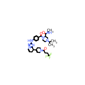 CNC(=O)C1CN(C(C)C)CCN1C(=O)c1ccc(Nc2nc3n(n2)C=CCC3C2=CCN(C(=O)CCC(F)(F)F)CC2)cc1